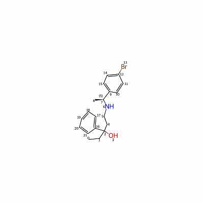 CCC(O)(CCN[C@@H](C)c1ccc(Br)cc1)c1ccccc1